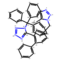 CCCCc1cnnn1Cc1ccc(-c2ccccc2)c(-c2nnnn2C(c2ccccc2)(c2ccccc2)c2ccccc2)c1